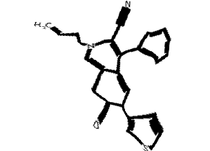 C=CCN1C=C2CC(=O)C(c3ccsc3)C=C2C(c2ccccc2)=C1C#N